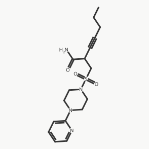 CCCC#CC(CS(=O)(=O)N1CCN(c2ccccn2)CC1)C(N)=O